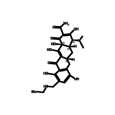 CCCc1cc(CNCC(C)(C)C)c(O)c2c1C[C@H]1C[C@H]3[C@H](N(C)C)C(O)=C(C(N)=O)C(=O)[C@@]3(O)C(O)=C1C2=O